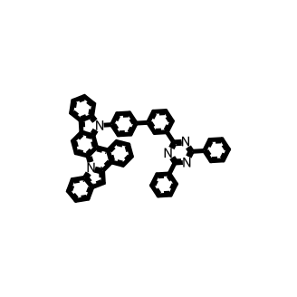 c1ccc(-c2nc(-c3ccccc3)nc(-c3cccc(-c4ccc(-n5c6ccccc6c6ccc7c(c8ccccc8c8cc9ccccc9n87)c65)cc4)c3)n2)cc1